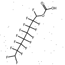 O=C(O)OC(F)C(F)(F)C(F)(F)C(F)(F)C(F)(F)C(F)(F)C(F)(F)C(F)F